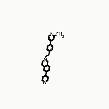 Cc1cc(-c2ccc(CCN3C=Cc4cc(-c5ccncc5)ccc4C3)cc2)ccn1